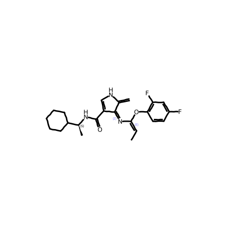 C=C1NC=C(C(=O)N[C@@H](C)C2CCCCC2)/C1=N/C(=C\C)Oc1ccc(F)cc1F